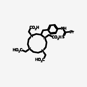 CC(C)C(=S)Nc1ccc(CC2CN(CC(=O)O)CCN(CC(=O)O)CCN(CC(=O)O)CCN2CC(=O)O)cc1